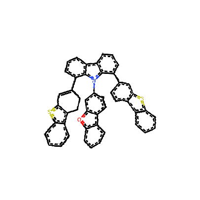 C1=C(c2cccc3c4cccc(-c5ccc6c(c5)sc5ccccc56)c4n(-c4ccc5c(c4)oc4ccccc45)c23)CCc2c1sc1ccccc21